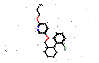 COCCOc1ccc(OCC2CCCCC2c2ccccc2Cl)cn1